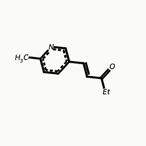 CCC(=O)/C=C/c1ccc(C)nc1